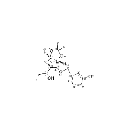 CC[C@@H](O)[C@H]1O[C@@H]2OC(C)(C)O[C@@H]2[C@H]1OCc1cccc(Cl)c1